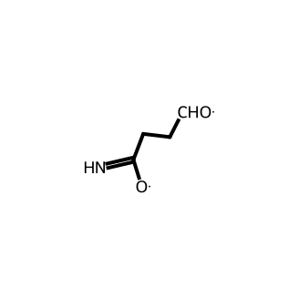 N=C([O])CC[C]=O